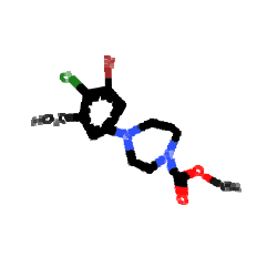 CC(C)(C)OC(=O)N1CCN(c2cc(Br)c(Cl)c(C(=O)O)c2)CC1